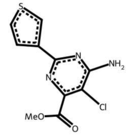 COC(=O)c1nc(-c2ccsc2)nc(N)c1Cl